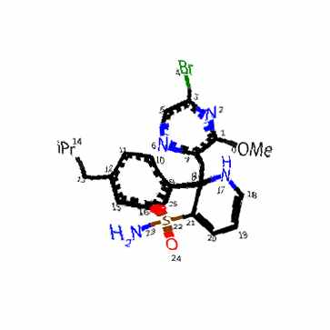 COc1nc(Br)cnc1C1(c2ccc(CC(C)C)cc2)NC=CC=C1S(N)(=O)=O